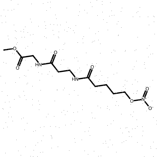 COC(=O)CNC(=O)CCNC(=O)CCCCO[N+](=O)[O-]